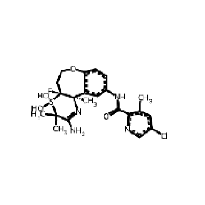 Cc1cc(Cl)cnc1C(=O)Nc1ccc2c(c1)[C@@]1(C)N=C(N)C(C)(C)S(O)(O)[C@]1(F)CCO2